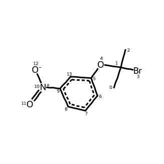 CC(C)(Br)Oc1cccc([N+](=O)[O-])c1